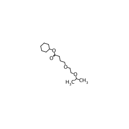 CC(C)OCCOCCCC(=O)OC1CCCCC1